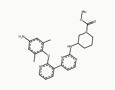 Cc1cc(N)cc(C)c1Oc1ncccc1-c1ccnc(NC2CCCN(C(=O)OC(C)(C)C)C2)n1